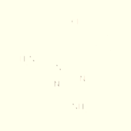 Nc1nc2c(C3CC3)c(C(F)(F)F)cc(N)n2n1